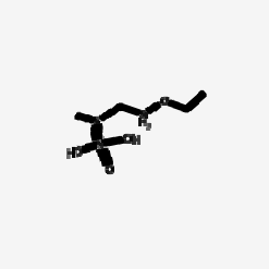 CCO[SiH2]CS(C)=S(=O)(O)O